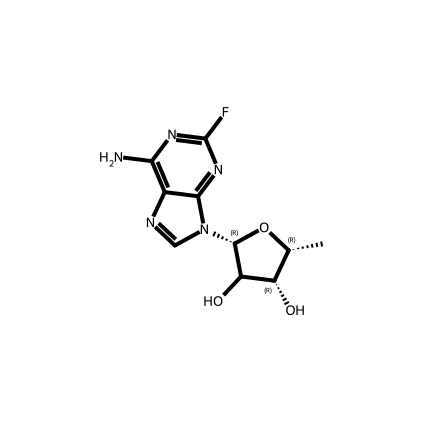 C[C@H]1O[C@@H](n2cnc3c(N)nc(F)nc32)C(O)[C@H]1O